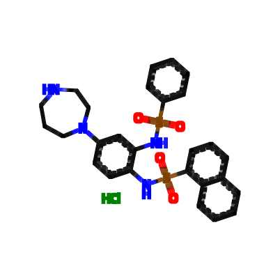 Cl.O=S(=O)(Nc1cc(N2CCCNCC2)ccc1NS(=O)(=O)c1cccc2ccccc12)c1ccccc1